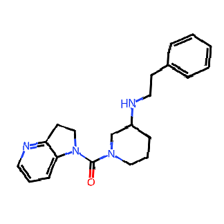 O=C(N1CCCC(NCCc2ccccc2)C1)N1CCc2ncccc21